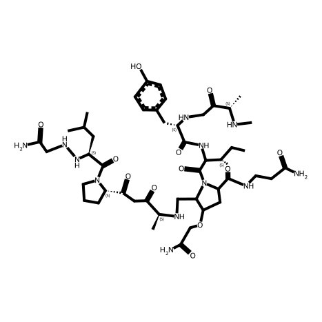 CC[C@H](C)C(NC(=O)[C@H](Cc1ccc(O)cc1)NCC(=O)[C@H](C)NC)C(=O)N1C(C(=O)NCCC(N)=O)CC(OCC(N)=O)C1CN[C@@H](C)C(=O)CC(=O)[C@@H]1CCCN1C(=O)[C@H](CC(C)C)NNCC(N)=O